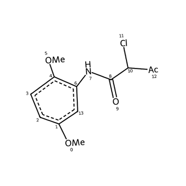 COc1ccc(OC)c(NC(=O)C(Cl)C(C)=O)c1